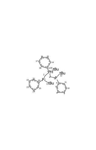 CC(C)(C)P(C[PH](CP(c1ccccc1)C(C)(C)C)(c1ccccc1)C(C)(C)C)c1ccccc1